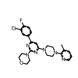 Cc1cccnc1N1CCN(c2cc(-c3ccc(F)c(Cl)c3)nc(N3CCOCC3)n2)CC1